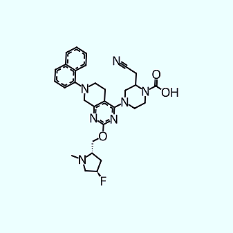 CN1C[C@H](F)C[C@H]1COc1nc2c(c(N3CCN(C(=O)O)C(CC#N)C3)n1)CCN(c1cccc3ccccc13)C2